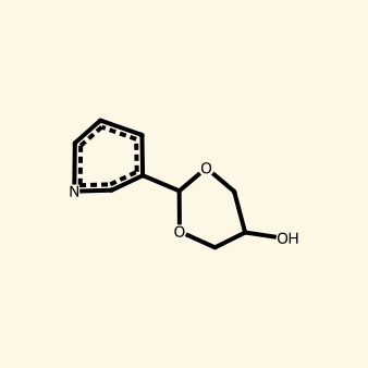 OC1COC(c2cccnc2)OC1